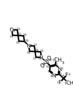 Cc1nc(C(C)(F)F)ncc1S(=O)(=O)N1CC2(CN(C3CC4(COC4)C3)C2)C1